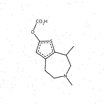 CC1CN(C)CCc2cc(OC(=O)O)sc21